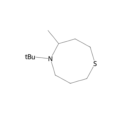 CC1CCSCCCN1C(C)(C)C